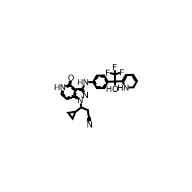 N#CCC(C1CC1)n1nc(Nc2ccc(C(O)(C3=CC=CCN3)C(F)(F)F)cc2)c2c(=O)[nH]ccc21